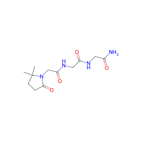 CC1(C)CCC(=O)N1CC(=O)NCC(=O)NCC(N)=O